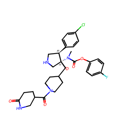 CN(C(=O)Oc1ccc(F)cc1)[C@]1(C(=O)C2CCN(C(=O)C3CCC(=O)NC3)CC2)CNC[C@H]1c1ccc(Cl)cc1